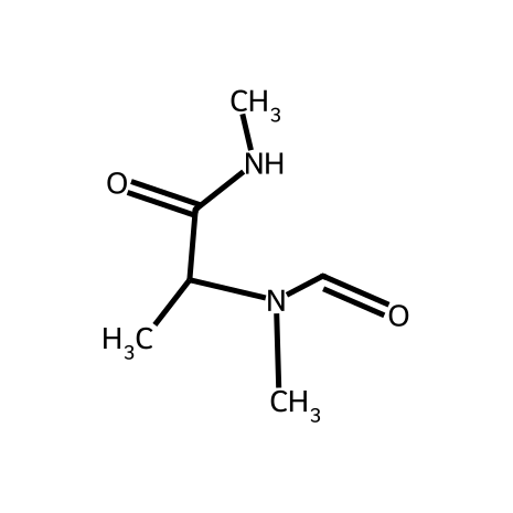 CNC(=O)C(C)N(C)C=O